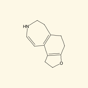 C1=CC2=C(CCN1)CCC1=C2CCO1